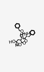 O=C(O)CC(NC(=O)[C@H](Cc1ccccc1)NC(=O)OCc1ccccc1)C(=O)O